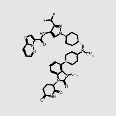 CN(C[C@H]1CC[C@H](n2cc(NC(=O)c3cnc4cccnn34)c(C(F)F)n2)CC1)C1CCN(c2cccc3c2n(C)c(=O)n3C2CCC(=O)NC2=O)CC1